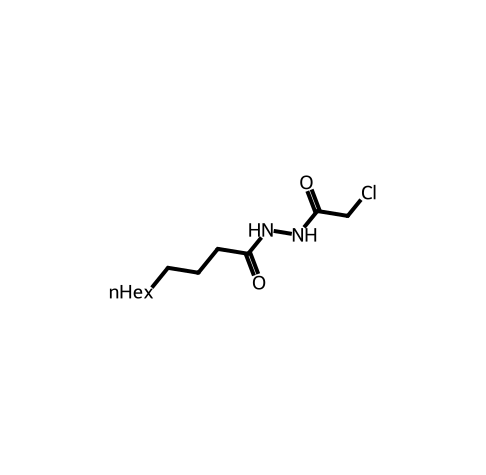 CCCCCCCCCC(=O)NNC(=O)CCl